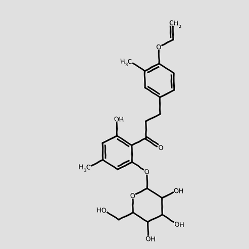 C=COc1ccc(CCC(=O)c2c(O)cc(C)cc2OC2OC(CO)C(O)C(O)C2O)cc1C